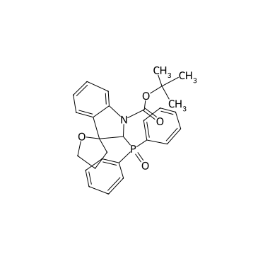 CC(C)(C)OC(=O)N1c2ccccc2C2(CCCO2)C1P(=O)(c1ccccc1)c1ccccc1